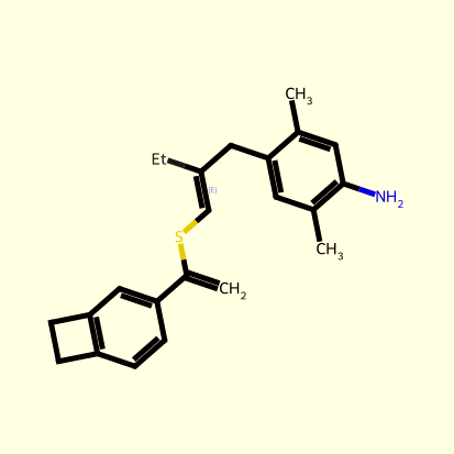 C=C(S/C=C(\CC)Cc1cc(C)c(N)cc1C)c1ccc2c(c1)CC2